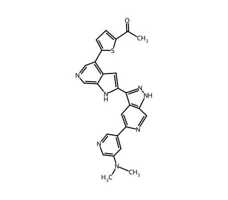 CC(=O)c1ccc(-c2cncc3[nH]c(-c4n[nH]c5cnc(-c6cncc(N(C)C)c6)cc45)cc23)s1